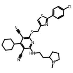 CN1CCCC1CCNc1nc(SCc2csc(-c3ccc(Cl)cc3)n2)c(C#N)c(C2CCCCC2)c1C#N